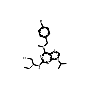 CC[C@H](CO)Nc1nc(N(C)Cc2ccc(F)cc2)c2ncn(C(C)C)c2n1